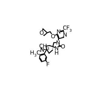 CN(C)[C@]1(c2cccc(F)c2)CC[C@]2(CC1)CN(c1cnc(C(F)(F)F)nc1OCC1COC1)C(=O)N2